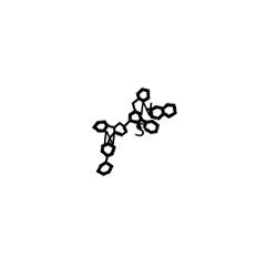 C1=C(c2cc3c(c4c2sc2ccccc24)N(c2ccc4ccccc4c2)c2ccccc2C3)CC2C(=C1)N(c1ccc(-c3ccccc3)cc1)c1ccccc12